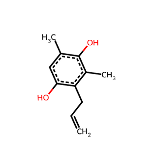 C=CCc1c(O)cc(C)c(O)c1C